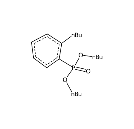 CCCCOP(=O)(OCCCC)c1ccccc1CCCC